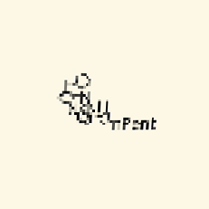 CCCCCc1ccc(C(=O)NC2N=C(c3ccccc3F)c3ccccc3N(C)C2=O)cc1